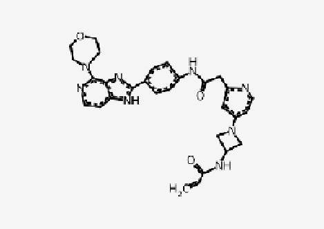 C=CC(=O)NC1CN(c2ccnc(CC(=O)Nc3ccc(-c4nc5c(N6CCOCC6)nccc5[nH]4)cc3)c2)C1